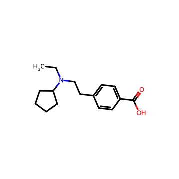 CCN(CCc1ccc(C(=O)O)cc1)C1CCCC1